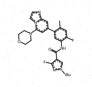 Cc1cc(F)c(NC(=O)c2cn(C(C)(C)C)nc2F)cc1-c1cc(N2CCOCC2)n2ccnc2c1